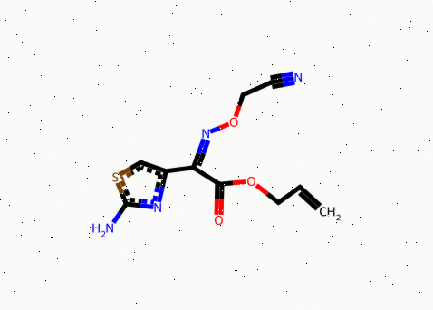 C=CCOC(=O)C(=NOCC#N)c1csc(N)n1